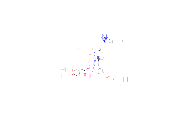 O=C(O)COc1ccc(C(NC(=O)c2cc3cc(O)c(O)cc3oc2=O)C(=O)N[C@@H]2C(=O)N3C(C(=O)O)=C(CSc4nnnn4CC(=O)O)CS[C@@H]23)cc1